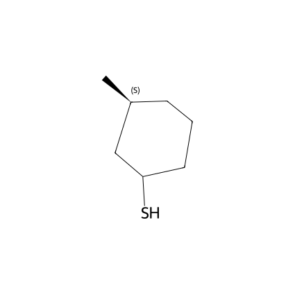 C[C@H]1CCCC(S)C1